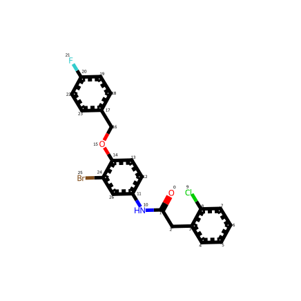 O=C(Cc1ccccc1Cl)Nc1ccc(OCc2ccc(F)cc2)c(Br)c1